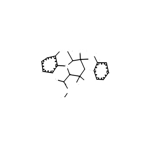 CCOC(N)C1N(c2ccccc2S(=O)(=O)O)C(C)C(C)(C(=O)O)[C@H](c2ccccc2Cl)C1(CC)C(=O)O